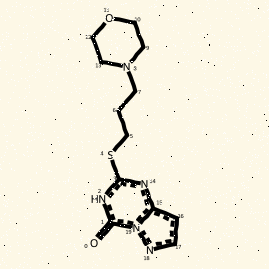 O=c1[nH]c(SCCCN2CCOCC2)nc2ccnn12